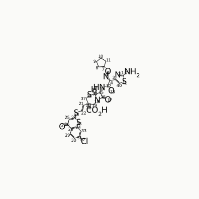 Nc1nc(C(=NOC2CCCC2)C(=O)NC2C(=O)N3CC(C=CSc4cc(=O)c5ccc(Cl)cc5s4)(C(=O)O)CS[C@H]23)cs1